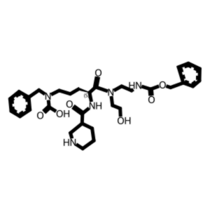 O=C(NCCN(CCO)C(=O)[C@H](CCCN(Cc1ccccc1)C(=O)O)NC(=O)C1CCCNC1)OCc1ccccc1